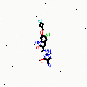 COc1nc(NC(C)c2cc3cc(Cl)c(OCC4CC(F)(F)C4)cc3[nH]c2=O)ncc1C#N